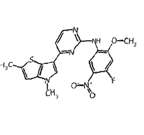 COc1cc(F)c([N+](=O)[O-])cc1Nc1nccc(-c2cn(C)c3cc(C)sc23)n1